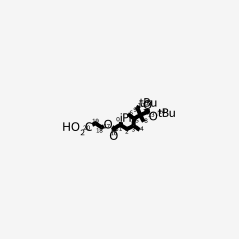 CC(C)C(CC(C)C(C)C(C)(CC(C)(C)C)C(=O)OC(C)(C)C)C(=O)OCCC(=O)O